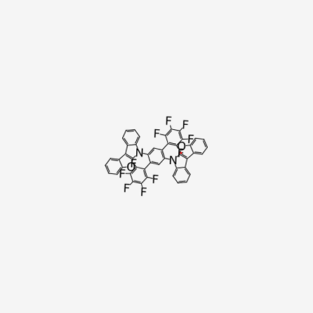 Fc1c(F)c(F)c(-c2cc(-n3c4ccccc4c4c5ccccc5oc43)c(-c3c(F)c(F)c(F)c(F)c3F)cc2-n2c3ccccc3c3c4ccccc4oc32)c(F)c1F